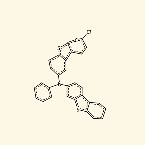 Clc1ccc2c(c1)sc1ccc(N(c3ccccc3)c3ccc4c(c3)sc3ccccc34)cc12